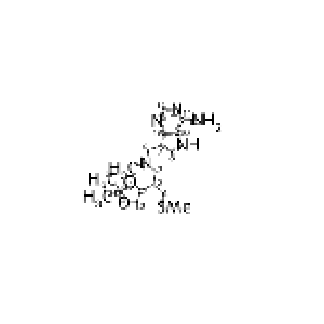 CSCC(CN(C)Cc1c[nH]c2c(N)ncnc12)C1COC(C)(C)O1